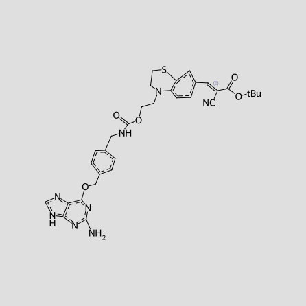 CC(C)(C)OC(=O)/C(C#N)=C/c1ccc2c(c1)SCCN2CCOC(=O)NCc1ccc(COc2nc(N)nc3[nH]cnc23)cc1